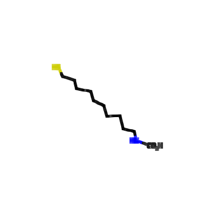 O=C(O)NCCCCCCCCCCS